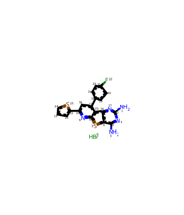 Br.Nc1nc(N)c2sc3nc(-c4cccs4)cc(-c4ccc(F)cc4)c3c2n1